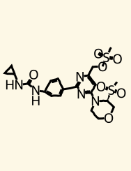 CS(=O)(=O)OCc1cc(N2CCOC[C@@H]2S(C)(=O)=O)nc(-c2ccc(NC(=O)NC3CC3)cc2)n1